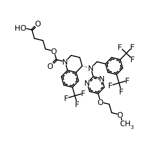 COCCOc1cnc(N(Cc2cc(C(F)(F)F)cc(C(F)(F)F)c2)[C@H]2CCN(C(=O)OCCCC(=O)O)c3ccc(C(F)(F)F)cc32)nc1